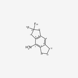 Nc1c2c(cc3c1CC(F)(F)C3)CCC2